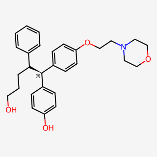 OCCCC(c1ccccc1)[C@H](c1ccc(O)cc1)c1ccc(OCCN2CCOCC2)cc1